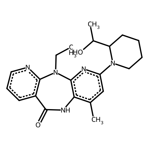 CCN1c2ncccc2C(=O)Nc2c(C)cc(N3CCCCC3C(C)O)nc21